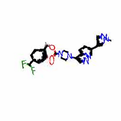 C[C@H](OC(=O)N1CCN(c2cnn3cc(-c4cnn(C)c4)ccc23)CC1)c1ccc(C(F)F)cc1